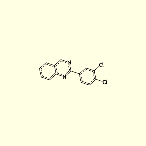 Clc1ccc(-c2ncc3ccccc3n2)cc1Cl